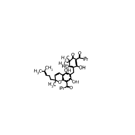 CC(C)=CCCC1(C)C=Cc2c(O)c(CC3=C(O)C(C)(C)C(=O)C(C(=O)C(C)C)=C3O)c(O)c(C(=O)C(C)C)c2O1